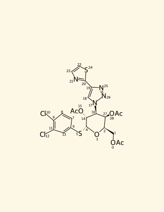 CC(=O)OC[C@H]1O[C@H](Sc2ccc(Cl)c(Cl)c2)[C@H](OC(C)=O)[C@@H](n2cc(-c3nccs3)nn2)[C@H]1OC(C)=O